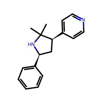 CC1(C)N[C@H](c2ccccc2)C[C@@H]1c1ccncc1